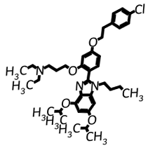 CCCCn1c(-c2ccc(OCCc3ccc(Cl)cc3)cc2OCCCN(CC)CC)nc2c(OC(C)C)cc(OC(C)C)cc21